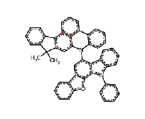 CC1(C)c2ccccc2-c2ccc(N(c3ccccc3-c3ccccc3)c3cc4c5ccccc5oc4c4c3c3ccccc3n4-c3ccccc3)cc21